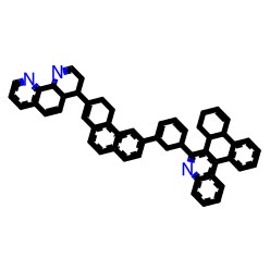 C1=CC(c2nc3ccccc3c3c2C2CCC=CC2c2ccccc2-3)CC(c2ccc3ccc4c(c3c2)CCC(C2CC=NC3c5ncccc5C=CC23)=C4)=C1